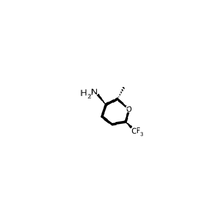 C[C@@H]1O[C@@H](C(F)(F)F)CC[C@H]1N